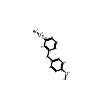 COc1ccc(Cc2ccc[c]([Mg][Br])c2)cc1